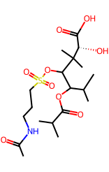 CC(=O)NCCCS(=O)(=O)OC(C(OC(=O)C(C)C)C(C)C)C(C)(C)[C@@H](O)C(=O)O